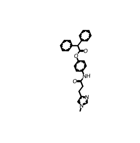 Cn1cnc(CCC(=O)Nc2ccc(OC(=O)C(c3ccccc3)c3ccccc3)cc2)c1